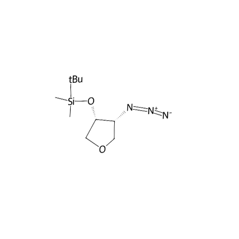 CC(C)(C)[Si](C)(C)O[C@H]1COC[C@H]1N=[N+]=[N-]